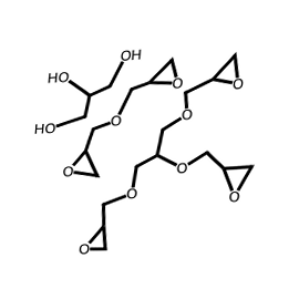 C(OCC1CO1)C(COCC1CO1)OCC1CO1.C(OCC1CO1)C1CO1.OCC(O)CO